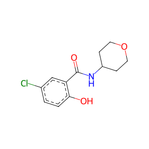 O=C(NC1CCOCC1)c1cc(Cl)ccc1O